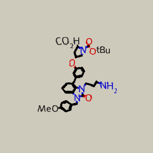 COc1ccc(Cn2c(=O)n(CCCN)c3c(-c4cccc(O[C@H]5C[C@@H](C(=O)O)N(C(=O)OC(C)(C)C)C5)c4)cccc32)cc1